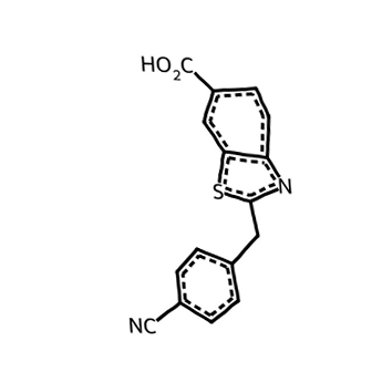 N#Cc1ccc(Cc2nc3ccc(C(=O)O)cc3s2)cc1